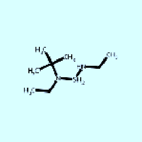 CCN[SiH2]N(CC)C(C)(C)C